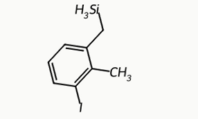 Cc1c(I)cccc1C[SiH3]